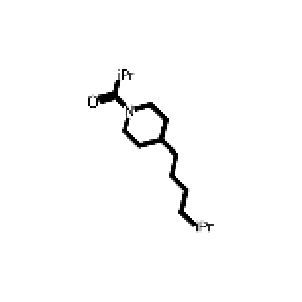 CC(C)CCCCC1CCN(C(=O)C(C)C)CC1